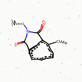 COc1cccc2c1C(=O)N(OC)C2=O